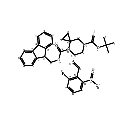 CC(C)(C)OC(=O)N1C[C@H](C=Cc2c(F)cccc2[N+](=O)[O-])N(C(=O)OCC2c3ccccc3-c3ccccc32)C2(CC2)C1